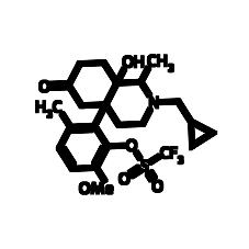 COc1ccc(C)c(C23CCN(CC4CC4)C(C)C2(O)CCC(=O)C3)c1OS(=O)(=O)C(F)(F)F